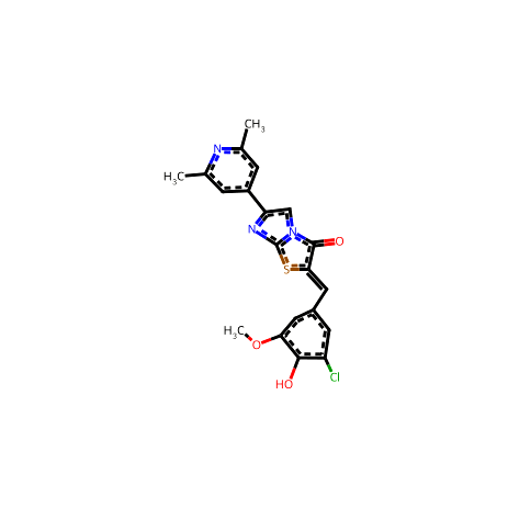 COc1cc(/C=c2\sc3nc(-c4cc(C)nc(C)c4)cn3c2=O)cc(Cl)c1O